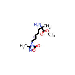 COC(=O)C(C)(N)CC/C=C/Cn1c(C)noc1=O